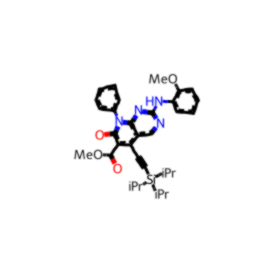 COC(=O)c1c(C#C[Si](C(C)C)(C(C)C)C(C)C)c2cnc(Nc3ccccc3OC)nc2n(-c2ccccc2)c1=O